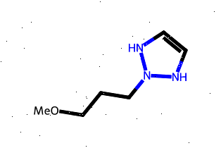 COCCCN1NC=CN1